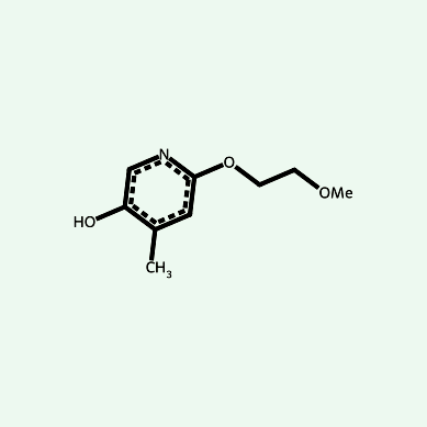 COCCOc1cc(C)c(O)cn1